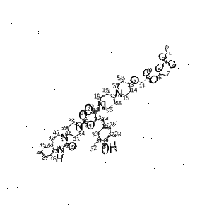 CCOC(=O)OC(C)OC(=O)COC1CCN(C2CCN(C(=O)[C@@H](Cc3cc(C)c(O)c(C)c3)OC(=O)N3CCC(N4CCc5ccccc5NC4=O)CC3)CC2)CC1